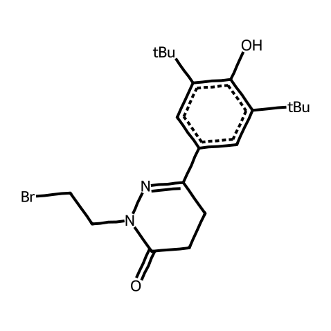 CC(C)(C)c1cc(C2=NN(CCBr)C(=O)CC2)cc(C(C)(C)C)c1O